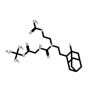 CC(=O)SCCN(CCC1C2CC3CC(C2)CC1(I)C3)C(=O)NCC(=O)OC(C)(C)C